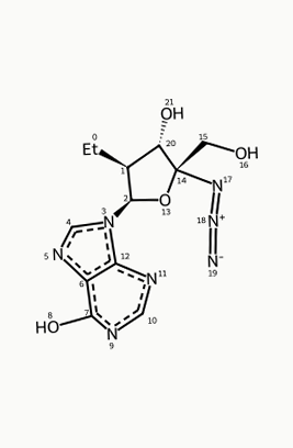 CC[C@@H]1[C@H](n2cnc3c(O)ncnc32)O[C@@](CO)(N=[N+]=[N-])[C@H]1O